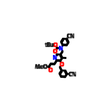 COC(=O)/C=C/c1ncc(CN(C(=O)OC(C)(C)C)c2ccc(C#N)cc2)c(C)c1OCc1cccc(C#N)c1